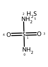 NS(N)(=O)=O.S